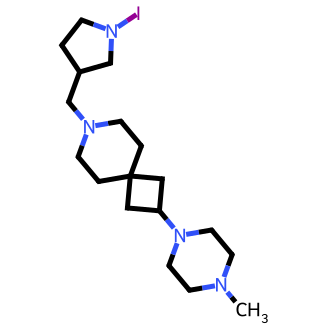 CN1CCN(C2CC3(CCN(CC4CCN(I)C4)CC3)C2)CC1